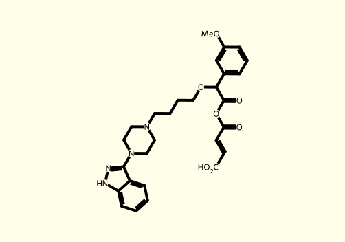 COc1cccc(C(OCCCCN2CCN(c3n[nH]c4ccccc34)CC2)C(=O)OC(=O)/C=C/C(=O)O)c1